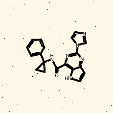 O=C(NC1(c2ccccc2)CC1)c1nc(-n2ccnc2)nc2cc[nH]c12